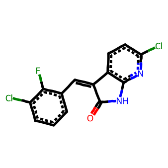 O=C1Nc2nc(Cl)ccc2C1=Cc1cccc(Cl)c1F